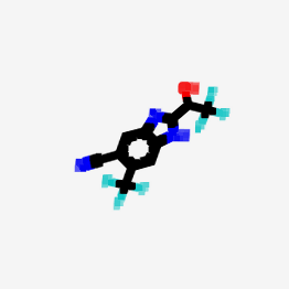 N#Cc1cc2nc(C(O)C(F)(F)F)[nH]c2cc1C(F)(F)F